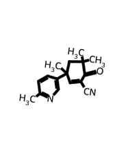 Cc1ccc(C2(C)C=C(C#N)C(=O)C(C)(C)C2)cn1